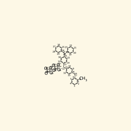 Cc1ccccc1[I+]c1ccc(Cc2ccc([S+](c3ccccc3)c3ccccc3)cc2)cc1.[O-][Cl+3]([O-])([O-])[O-].[O-][Cl+3]([O-])([O-])[O-]